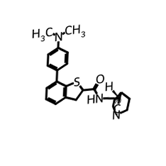 CN(C)c1ccc(-c2cccc3c2SC(C(=O)N[C@H]2CN4CCC2CC4)C3)cc1